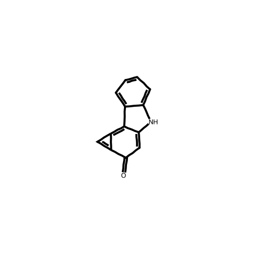 O=c1cc2[nH]c3ccccc3c2c2cc1-2